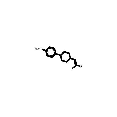 COc1ccc(C2CCC(C=C(F)F)CC2)cc1